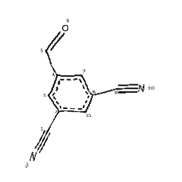 N#Cc1cc([C]=O)cc(C#N)c1